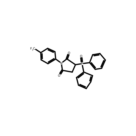 O=C1CC(P(=O)(c2ccccc2)c2ccccc2)C(=O)N1c1ccc(C(F)(F)F)cc1